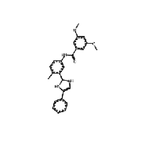 COc1cc(OC)cc(C(=O)Nc2ccc(C)c(C3NC=C(c4ccccc4)N3)c2)c1